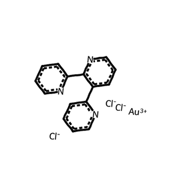 [Au+3].[Cl-].[Cl-].[Cl-].c1ccc(-c2cccnc2-c2ccccn2)nc1